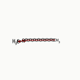 CCOCCOCCOCCOCCOCCOCCOCCOCCOCCOCCOCCOCCOCCOc1ccc2nc(/C=C/c3ccc(N(C)C)cc3)oc2c1